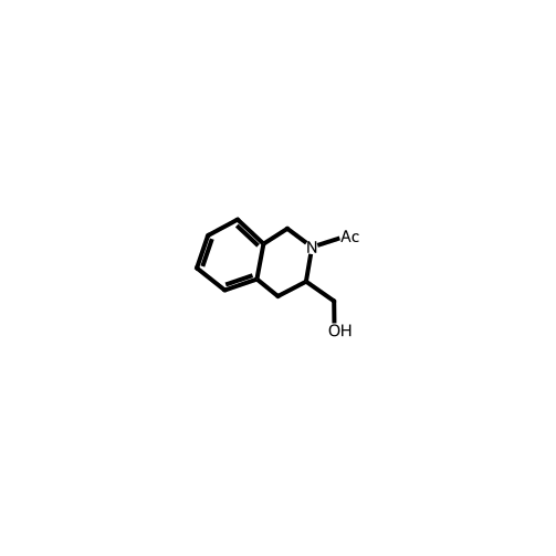 CC(=O)N1Cc2ccccc2CC1CO